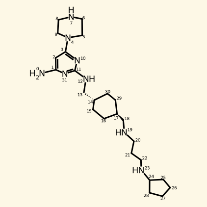 Nc1cc(N2CCNCC2)nc(NC[C@H]2CC[C@H](CNCCCNC3CCCC3)CC2)n1